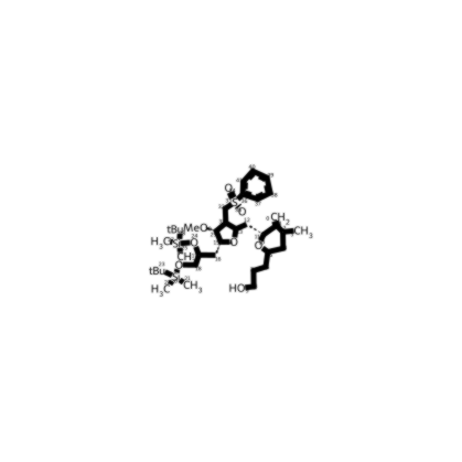 C=C1C(C)CC(CCCO)O[C@@H]1CC1O[C@H](CC(CO[Si](C)(C)C(C)(C)C)O[Si](C)(C)C(C)(C)C)[C@H](OC)C1CS(=O)(=O)c1ccccc1